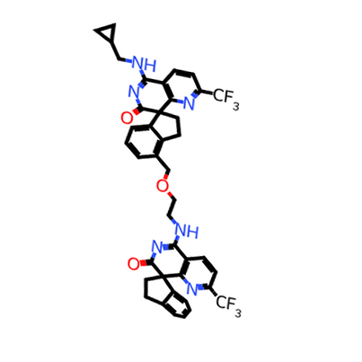 O=C1N=C(NCCOCc2cccc3c2CCC32C(=O)N=C(NCC3CC3)c3ccc(C(F)(F)F)nc32)c2ccc(C(F)(F)F)nc2C12CCc1ccccc12